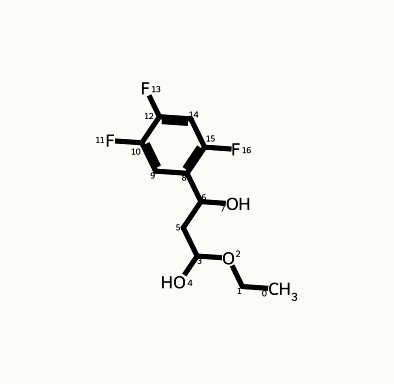 CCOC(O)CC(O)c1cc(F)c(F)cc1F